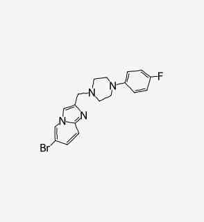 Fc1ccc(N2CCN(Cc3cn4cc(Br)ccc4n3)CC2)cc1